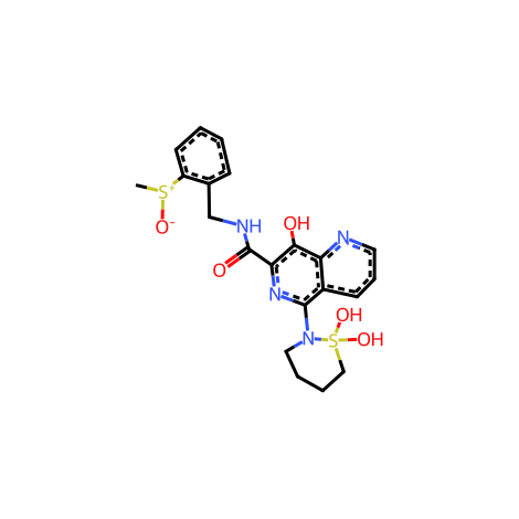 C[S+]([O-])c1ccccc1CNC(=O)c1nc(N2CCCCS2(O)O)c2cccnc2c1O